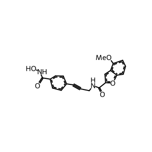 COc1cccc2oc(C(=O)NCC#Cc3ccc(C(=O)NO)cc3)cc12